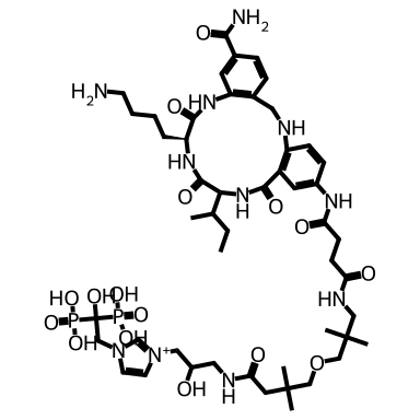 CCC(C)C1NC(=O)c2cc(NC(=O)CCC(=O)NCC(C)(C)COCC(C)(C)CC(=O)NCC(O)C[n+]3ccn(CC(O)(P(=O)(O)O)P(=O)(O)O)c3)ccc2NCc2ccc(C(N)=O)cc2NC(=O)[C@H](CCCCN)NC1=O